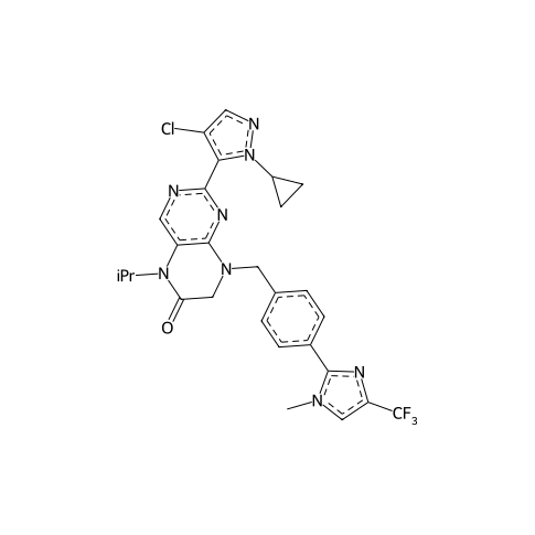 CC(C)N1C(=O)CN(Cc2ccc(-c3nc(C(F)(F)F)cn3C)cc2)c2nc(-c3c(Cl)cnn3C3CC3)ncc21